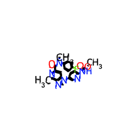 COC(=O)Nc1ccc(-n2cnc3c(C)nc(C(=O)N(C)c4ccc(F)cc4)cc32)cn1